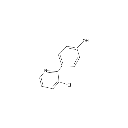 Oc1ccc(-c2ncccc2Cl)cc1